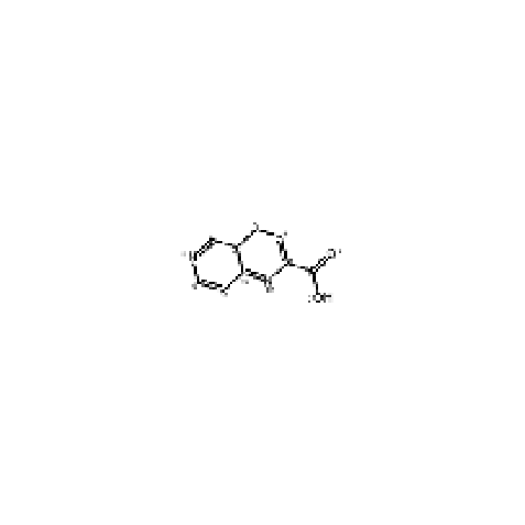 O=C(O)C1=CCC2C=NC=CC2=N1